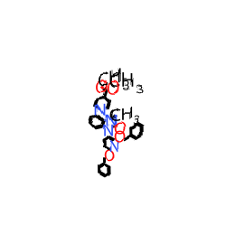 COC(OC)C1CCN(c2cccc3c2n(C)c(=O)n3-c2ccc(OCc3ccccc3)nc2OCc2ccccc2)CC1